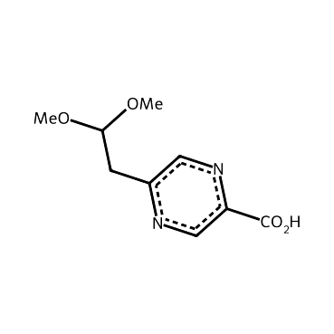 COC(Cc1cnc(C(=O)O)cn1)OC